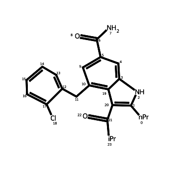 CCCc1[nH]c2cc(C(N)=O)cc(Cc3ccccc3Cl)c2c1C(=O)C(C)C